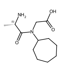 C[C@H](N)C(=O)N(CC(=O)O)C1CCCCCC1